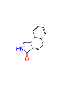 O=C1NCC2C1=CCC1C=CC=CC12